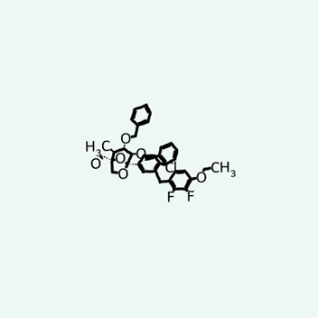 CCOc1ccc(Cc2cc([C@]34OC[C@](C=O)(O3)[C@@H](C)[C@H](OCc3ccccc3)[C@H]4OCc3ccccc3)ccc2Cl)c(F)c1F